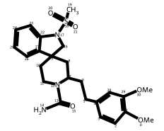 COc1ccc(CCC2CC3(CCN2C(N)=O)CN(S(C)(=O)=O)c2ccccc23)cc1OC